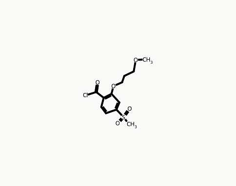 COCCCOc1cc(S(C)(=O)=O)ccc1C(=O)Cl